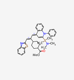 COC(=O)C1CCC(C(/C=C2\C=C(S(C)(C)N(C)C)N(c3ccccc3)c3ccccc32)=C\c2nc3ccccc3s2)CC1